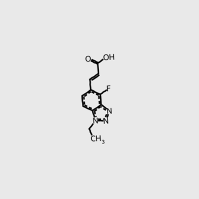 CCn1nnc2c(F)c(C=CC(=O)O)ccc21